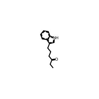 CCC(=O)CCCc1c[nH]c2ccccc12